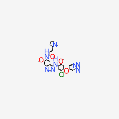 COc1cc2ncnc(Nc3cc(Cl)c(Oc4ccn5ncnc5c4)cc3OC)c2cc1NC(=O)/C=C/[C@H]1CCCN1C